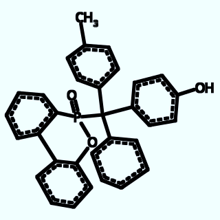 Cc1ccc(C(c2ccccc2)(c2ccc(O)cc2)P2(=O)Oc3ccccc3-c3ccccc32)cc1